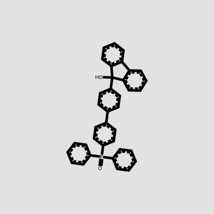 O=P(c1ccccc1)(c1ccccc1)c1ccc(-c2ccc(C3(O)c4ccccc4-c4ccccc43)cc2)cc1